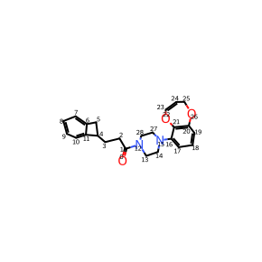 O=C(CCC1Cc2ccccc21)N1CCN(c2cccc3c2OC=CCO3)CC1